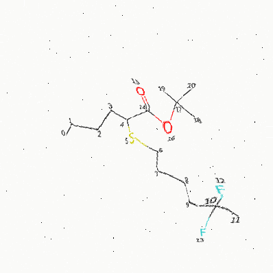 CCCCC(SCCCCC(C)(F)F)C(=O)OC(C)(C)C